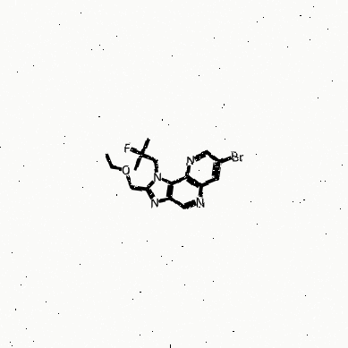 CCOCc1nc2cnc3cc(Br)cnc3c2n1CC(C)(C)F